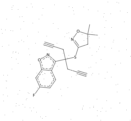 C#CCC(CC#C)(SC1=NOC(C)(C)C1)c1noc2cc(F)ccc12